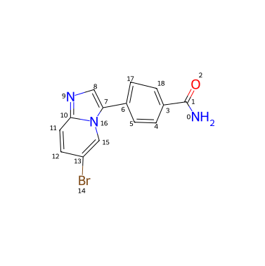 NC(=O)c1ccc(-c2cnc3ccc(Br)cn23)cc1